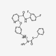 CCCN(CCC)C(=O)SCc1ccccc1.O=C(Nc1ccc(F)cc1F)c1cccnc1Oc1cccc(C(F)(F)F)c1